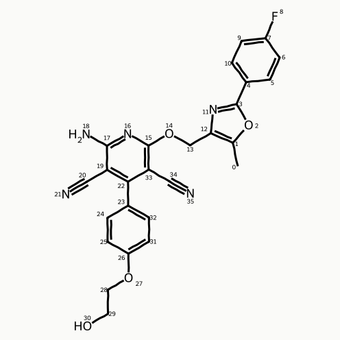 Cc1oc(-c2ccc(F)cc2)nc1COc1nc(N)c(C#N)c(-c2ccc(OCCO)cc2)c1C#N